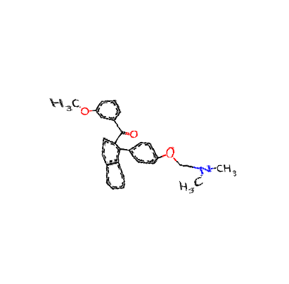 COc1cccc(C(=O)c2ccc3ccccc3c2-c2ccc(OCCN(C)C)cc2)c1